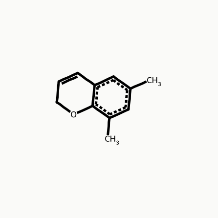 Cc1cc(C)c2c(c1)C=CCO2